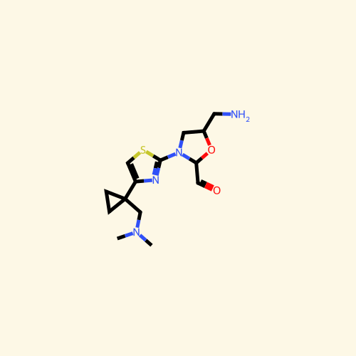 CN(C)CC1(c2csc(N3CC(CN)OC3C=O)n2)CC1